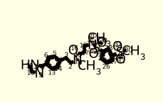 CN(CCc1ccc(C2=NCCN2)cc1)C(=O)CCN(C)S(=O)(=O)c1cccc(S(C)(=O)=O)c1